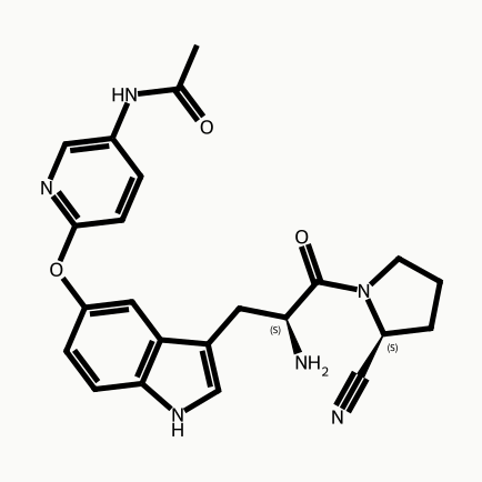 CC(=O)Nc1ccc(Oc2ccc3[nH]cc(C[C@H](N)C(=O)N4CCC[C@H]4C#N)c3c2)nc1